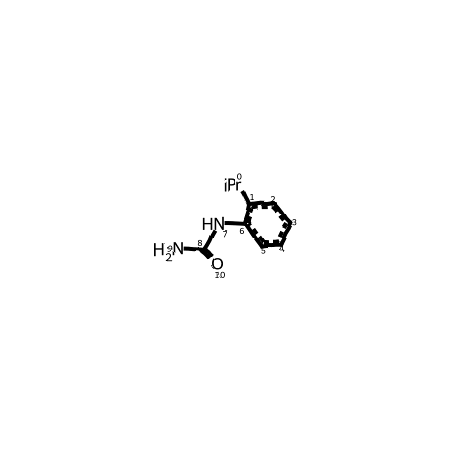 CC(C)c1ccccc1NC(N)=O